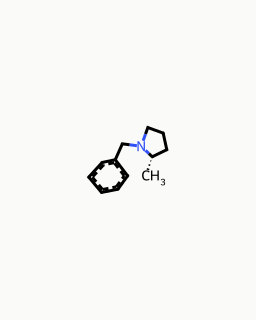 C[C@H]1CCCN1Cc1ccccc1